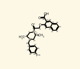 C[C@@H]1CN(C(=O)COc2cc3ccccc3cc2C(=O)O)[C@@H](C)CN1Cc1ccc(F)cc1